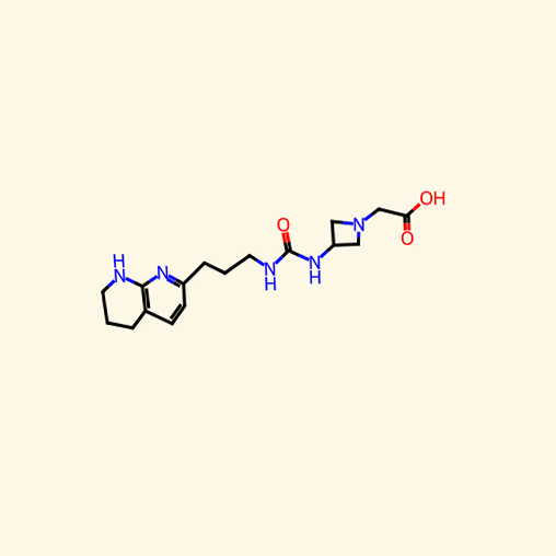 O=C(O)CN1CC(NC(=O)NCCCc2ccc3c(n2)NCCC3)C1